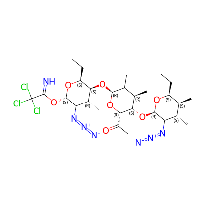 CC[C@@H]1O[C@H](O[C@H]2[C@H](C)C(C)[C@H](O[C@@H]3[C@H](CC)O[C@@H](OC(=N)C(Cl)(Cl)Cl)C(N=[N+]=[N-])[C@H]3C)O[C@H]2C(C)=O)C(N=[N+]=[N-])[C@@H](C)[C@@H]1C